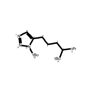 CCCC(CCCc1cnnn1C(C)(C)C)C(C)(C)C